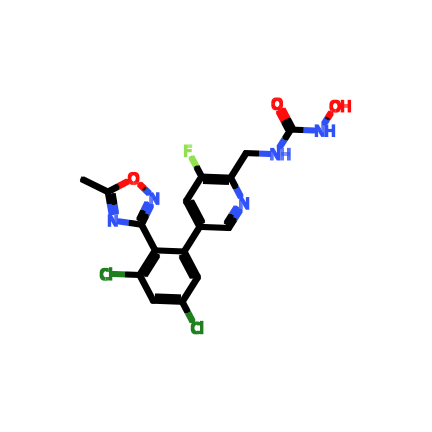 Cc1nc(-c2c(Cl)cc(Cl)cc2-c2cnc(CNC(=O)NO)c(F)c2)no1